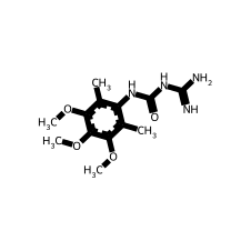 COc1c(C)c(NC(=O)NC(=N)N)c(C)c(OC)c1OC